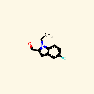 CCn1c(C=O)cc2cc(F)ccc21